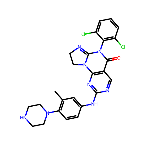 Cc1cc(Nc2ncc3c(n2)N2CCN=C2N(c2c(Cl)cccc2Cl)C3=O)ccc1N1CCNCC1